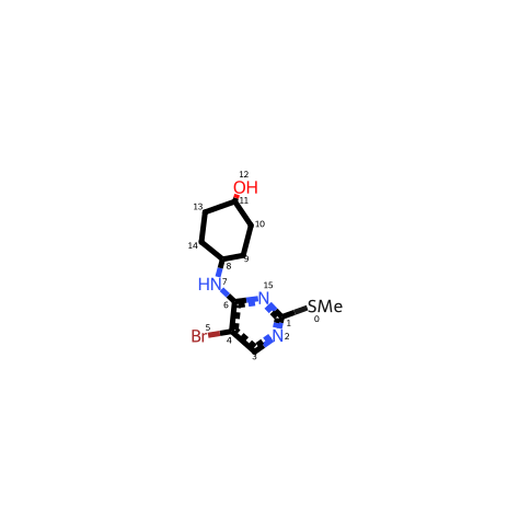 CSc1ncc(Br)c(NC2CCC(O)CC2)n1